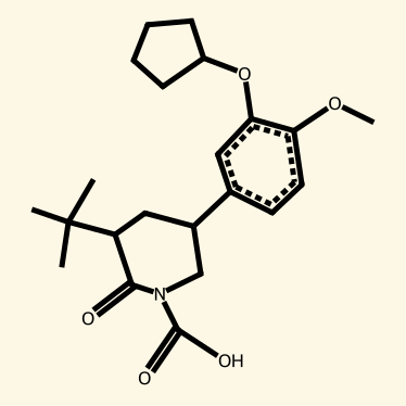 COc1ccc(C2CC(C(C)(C)C)C(=O)N(C(=O)O)C2)cc1OC1CCCC1